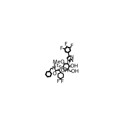 CCN(Cc1ccccc1)C(=O)[C@@H](S[C@@H]1O[C@H](CO)[C@H](O)[C@H](n2cc(-c3cc(F)c(F)c(F)c3)nn2)[C@H]1OC)C1(O)CCC(F)(F)CC1